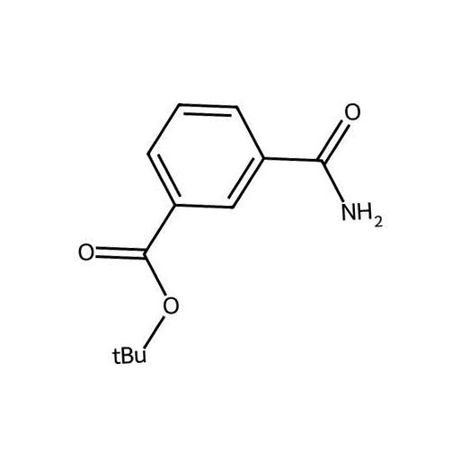 CC(C)(C)OC(=O)c1cccc(C(N)=O)c1